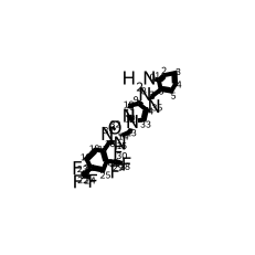 Nc1ccccc1-c1nc2cnn(Cc3nc(-c4ccc(C(F)(F)F)cc4C(F)(F)F)no3)cc-2n1